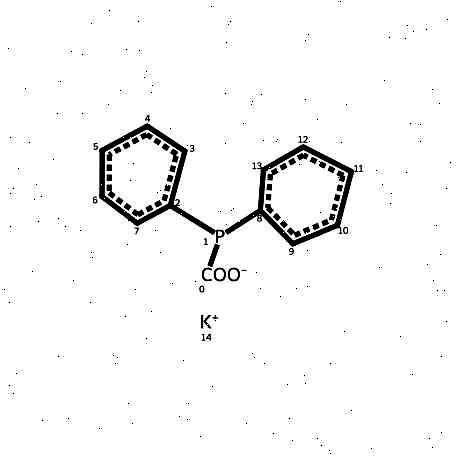 O=C([O-])P(c1ccccc1)c1ccccc1.[K+]